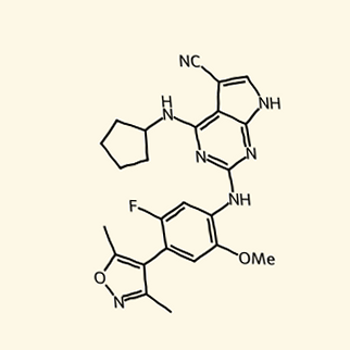 COc1cc(-c2c(C)noc2C)c(F)cc1Nc1nc(NC2CCCC2)c2c(C#N)c[nH]c2n1